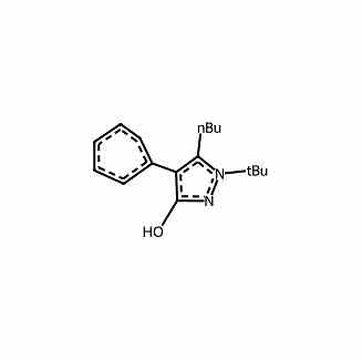 CCCCc1c(-c2ccccc2)c(O)nn1C(C)(C)C